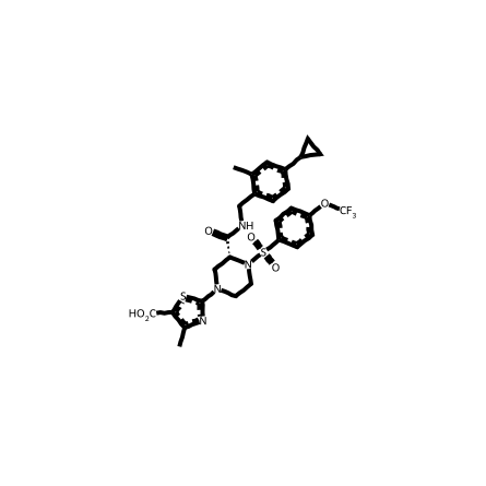 Cc1cc(C2CC2)ccc1CNC(=O)[C@H]1CN(c2nc(C)c(C(=O)O)s2)CCN1S(=O)(=O)c1ccc(OC(F)(F)F)cc1